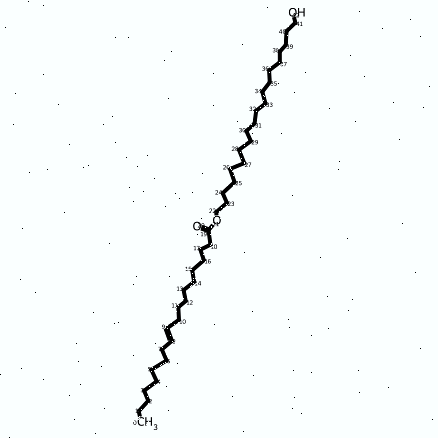 CCCCCCCCC=CCCCCCCCCCC(=O)OCCCCCCCCCCCCCCCCCCCCO